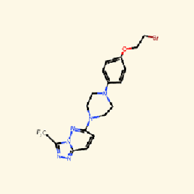 FC(F)(F)c1nnc2ccc(N3CCN(c4ccc(OCCBr)cc4)CC3)nn12